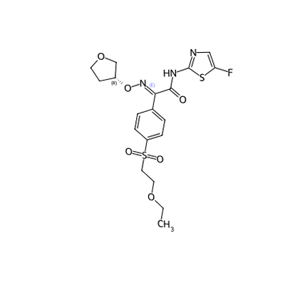 CCOCCS(=O)(=O)c1ccc(/C(=N\O[C@@H]2CCOC2)C(=O)Nc2ncc(F)s2)cc1